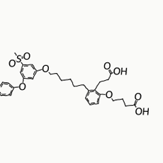 CS(=O)(=O)c1cc(OCCCCCCc2cccc(OCCCC(=O)O)c2CCC(=O)O)cc(Oc2ccccc2)c1